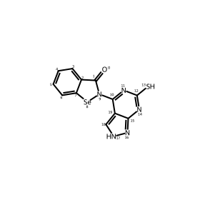 O=c1c2ccccc2[se]n1-c1nc(S)nc2n[nH]cc12